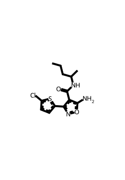 CCCC(C)NC(=O)c1c(-c2ccc(Cl)s2)noc1N